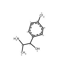 CC(N)C(O)c1ccc(C(F)(F)F)cc1